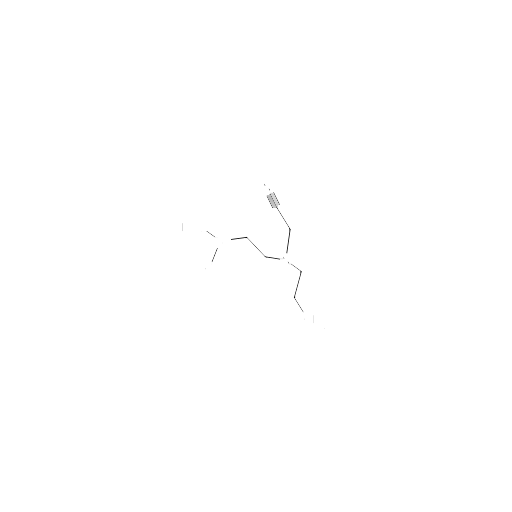 [CH2]CCN(CC#N)CC[S+](C)[O-]